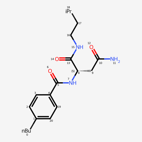 CCCCc1ccc(C(=O)N[C@@H](CC(N)=O)C(=O)N[CH]CC(C)C)cc1